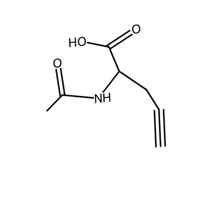 C#CCC(NC(C)=O)C(=O)O